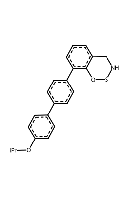 CC(C)Oc1ccc(-c2ccc(-c3cccc4c3OSNC4)cc2)cc1